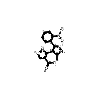 Cc1noc(-c2ccccc2[N+](=O)[O-])c1-c1nocc1C(=O)Cl